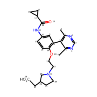 Cc1ncnc(C)c1-c1cc(NC(=O)C2CC2)ccc1OCCN1CCC(CC(=O)O)C1